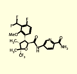 COc1c([C@@H]2[C@@H](C(=O)Nc3ccc(C(N)=O)nc3)O[C@](C)(C(F)(F)F)[C@@H]2C)ccc(F)c1C(F)F